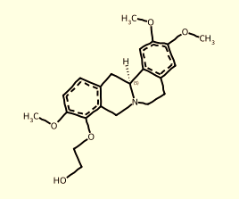 COc1cc2c(cc1OC)[C@@H]1Cc3ccc(OC)c(OCCO)c3CN1CC2